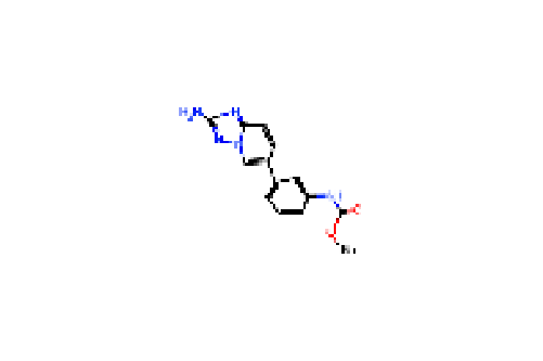 CC(C)(C)OC(=O)Nc1cccc(-c2ccc3nc(N)nn3c2)c1